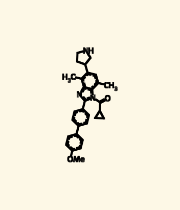 COc1ccc(-c2ccc(-c3nc4c(C)c(C5CCNC5)cc(C)c4n3C(=O)C3CC3)cc2)cc1